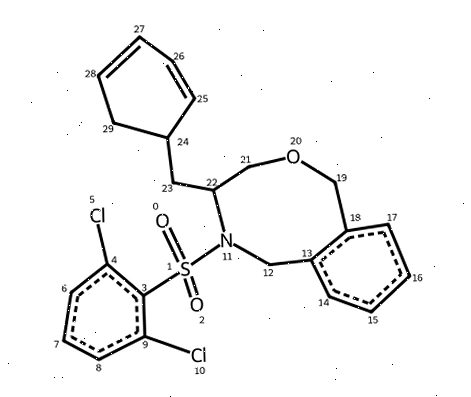 O=S(=O)(c1c(Cl)cccc1Cl)N1Cc2ccccc2COCC1CC1C=CC=CC1